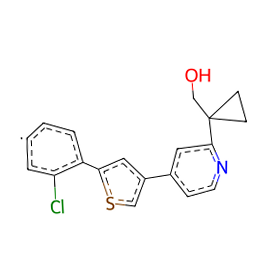 OCC1(c2cc(-c3csc(-c4cc[c]cc4Cl)c3)ccn2)CC1